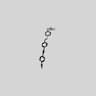 CC#Cc1ccc(C#Cc2ccc(CC[C@H]3CC[C@H](CCCC)CC3)cc2)cc1